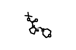 CC(C)(C)OC(=O)N1CCC[C@H]1CN1CCOCC1